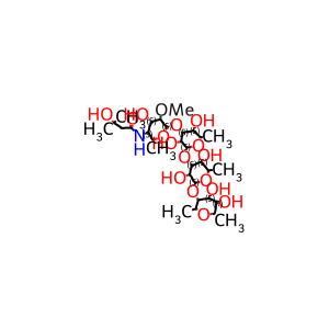 COC1[C@H](O[C@@H]2C(O)[C@H](O[C@@H]3C(O)[C@H](OC4C(C)OC(C)[C@H](O)[C@@H]4O)OC(C)[C@@H]3O)OC(C)[C@@H]2O)OC(C)[C@@H](NC(=O)CC(C)(C)O)[C@@H]1O